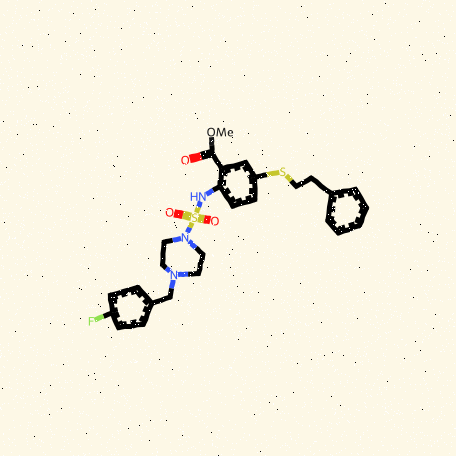 COC(=O)c1cc(SCCc2ccccc2)ccc1NS(=O)(=O)N1CCN(Cc2ccc(F)cc2)CC1